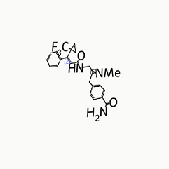 CN[C@H](CNC(=O)/C=C(/c1ccccc1)C1(C(F)(F)F)CC1)Cc1ccc(C(N)=O)cc1